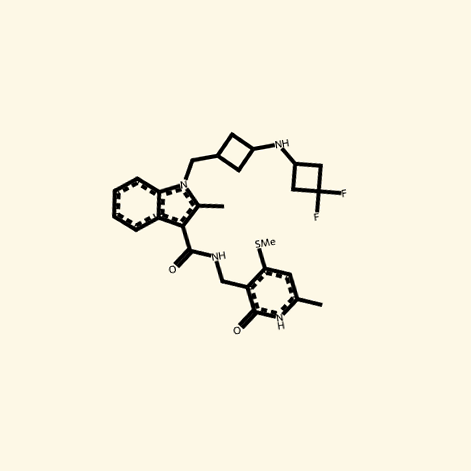 CSc1cc(C)[nH]c(=O)c1CNC(=O)c1c(C)n(CC2CC(NC3CC(F)(F)C3)C2)c2ccccc12